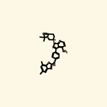 COC(C)(C)N1CCC[C@H](n2nc(-c3ccc(Nc4nc5cc(C)cc(C)c5o4)cc3)c3c(N)ncnc32)C1